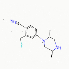 C[C@@H]1CN[C@@H](C)CN1c1ccc(C#N)c(CF)c1